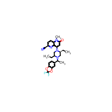 CCC1CN(c2cc(=O)n(C)c3ccc(C#N)nc23)[C@@H](CC)CN1C(C)c1ccc2c(c1)OC(F)(F)O2